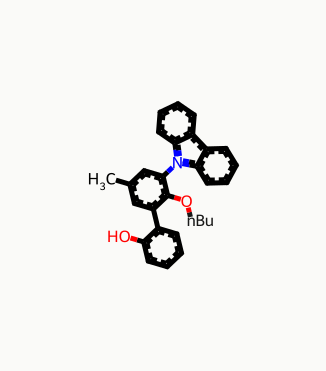 CCCCOc1c(-c2ccccc2O)cc(C)cc1-n1c2ccccc2c2ccccc21